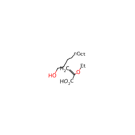 C=C(OCC)C(=O)O.CCCCCCCCCCCCO